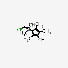 CC1=C(C)C([Si](C)(C)CCl)C(C)=C1C